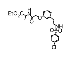 CCOC(=O)[C@H](C)NC(=O)COc1cccc(CCNS(=O)(=O)c2ccc(Cl)cc2)c1